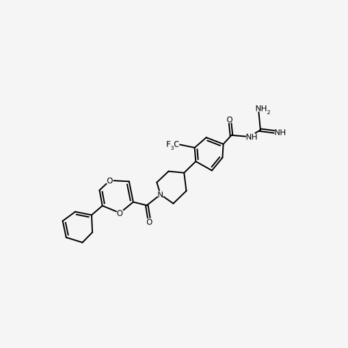 N=C(N)NC(=O)c1ccc(C2CCN(C(=O)C3=COC=C(C4=CC=CCC4)O3)CC2)c(C(F)(F)F)c1